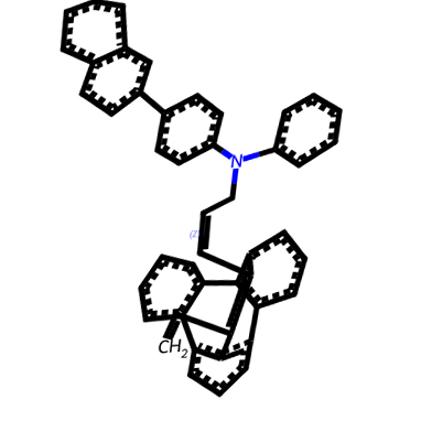 C=CC1=C(/C=C\CN(c2ccccc2)c2ccc(-c3ccc4ccccc4c3)cc2)c2cccc3c2-c2ccccc2-c2cccc-3c21